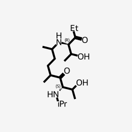 CCC(=O)[C@H](NC(C)CCC(C)C(=O)[C@@H](NC(C)C)C(C)O)C(C)O